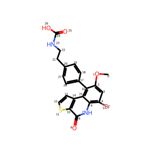 COc1cc(Br)c2[nH]c(=O)c3sccc3c2c1-c1ccc(CCNC(=O)O)cc1